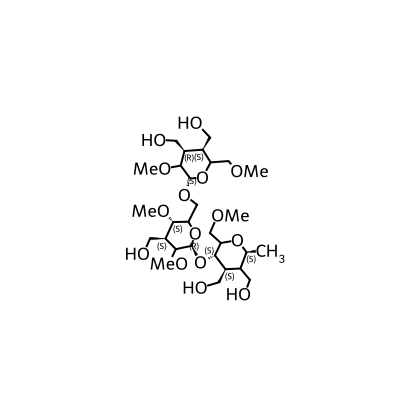 COCC1O[C@@H](C)C(CO)[C@@H](CO)[C@@H]1O[C@@H]1OC(CO[C@H]2OC(COC)[C@H](CO)[C@H](CO)C2OC)[C@@H](OC)[C@H](CO)C1OC